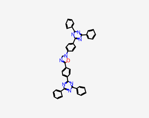 c1ccc(-c2nc(-c3ccccc3)nc(-c3ccc(C4=NCN(c5ccc(-c6nc(-c7ccccc7)nc(-c7ccccc7)n6)cc5)O4)cc3)n2)cc1